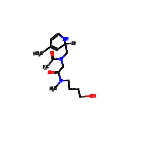 CCC1(CN(CC(=O)N(C)CCCCO)C(=O)C(F)(F)F)C=C(C(=O)O)C=CN1